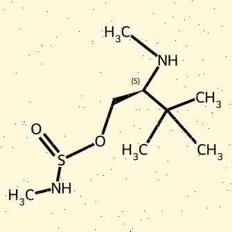 CN[C@H](COS(=O)NC)C(C)(C)C